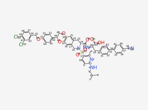 Cc1nc(NCC(C)C)ccc1S(=O)(=O)N1Cc2cc3c(cc2C[C@H]1C(=O)NC(Cc1ccc(-c2ccc(C#N)cc2)cc1)C(=O)O)OC[C@H](c1ccc(OCc2ccc(Cl)c(Cl)c2)cc1)O3